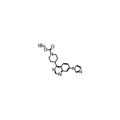 CC(C)(C)OC(=O)N1CCC(c2ncnc3cc(-n4ccnc4)ccc23)CC1